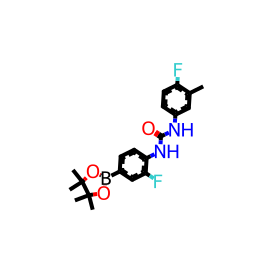 Cc1cc(NC(=O)Nc2ccc(B3OC(C)(C)C(C)(C)O3)cc2F)ccc1F